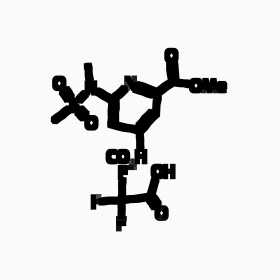 COC(=O)c1cc(C(=O)O)cc(N(C)S(C)(=O)=O)n1.O=C(O)C(F)(F)F